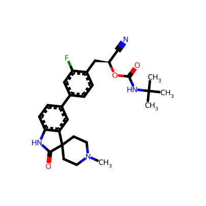 CN1CCC2(CC1)C(=O)Nc1ccc(-c3ccc(C[C@@H](C#N)OC(=O)NC(C)(C)C)c(F)c3)cc12